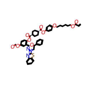 C=CC(=O)OCCCCCCOc1ccc(OC(=O)[C@H]2CC[C@H](C(=O)Oc3ccc(OC=O)cc3/C=N/N(CC(=O)c3ccccc3)c3nc4ccccc4s3)CC2)cc1